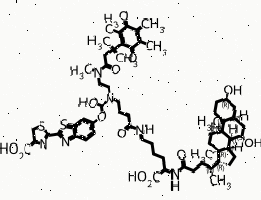 CC1=C(C)C(=O)C(C(C)(C)CC(=O)N(C)CCN(CCCC(=O)NCCCCC(NC(=O)CC[C@@H](C)[C@H]2CC[C@H]3[C@@H]4[C@@H](O)C[C@@H]5C[C@H](O)CC[C@]5(C)[C@H]4CC[C@]23C)C(=O)O)C(O)Oc2ccc3nc(C4=NC(C(=O)O)CS4)sc3c2)=C(C)C1=O